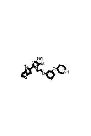 CCc1cnc(-c2cc3sccc3n2C)n1CCOc1cccc(OC2CCCNCC2)c1.Cl